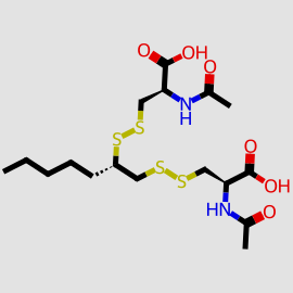 CCCCC[C@@H](CSSC[C@H](NC(C)=O)C(=O)O)SSC[C@H](NC(C)=O)C(=O)O